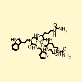 NC(=O)NCCCC(NC(=O)CN(CCc1c[nH]c2ccccc12)C(=O)CNCc1cccnc1)C(=O)NC(CCCNC(N)=O)C(=O)NCCS